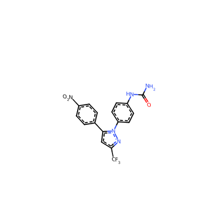 NC(=O)Nc1ccc(-n2nc(C(F)(F)F)cc2-c2ccc([N+](=O)[O-])cc2)cc1